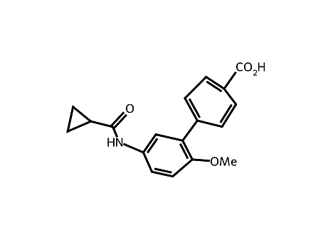 COc1ccc(NC(=O)C2CC2)cc1-c1ccc(C(=O)O)cc1